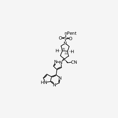 CCCCCS(=O)(=O)N1C[C@@H]2C[C@@](CC#N)(n3cc(-c4ncnc5[nH]ccc45)cn3)C[C@@H]2C1